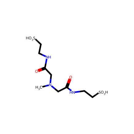 CN(CC(=O)NCCS(=O)(=O)O)CC(=O)NCCS(=O)(=O)O